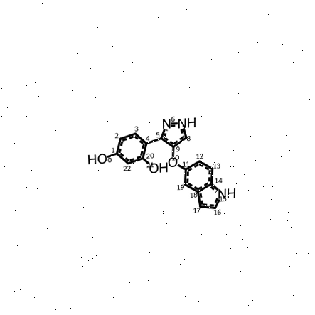 Oc1ccc(-c2n[nH]cc2Oc2ccc3[nH]ccc3c2)c(O)c1